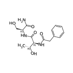 C[C@@H](O)[C@H](NC(=O)Cc1ccccc1)C(=O)N[C@@H](CO)C(N)=O